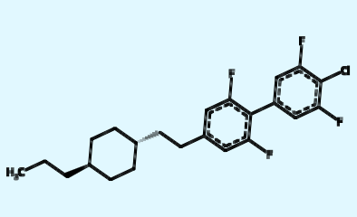 CCC[C@H]1CC[C@H](CCc2cc(F)c(-c3cc(F)c(Cl)c(F)c3)c(F)c2)CC1